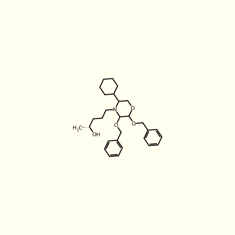 C[C@@H](O)CCCN1C(C2CCCCC2)COC(OCc2ccccc2)C1OCc1ccccc1